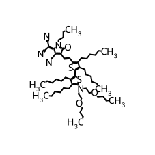 CCCCCCc1c(/C=C/C2=C(C#N)C(=C(C#N)C#N)N(CCCC)C2=O)sc(-c2sc(N(CCOCCCC)CCOCCCC)c(CCCCCC)c2CCCCCC)c1CCCCCC